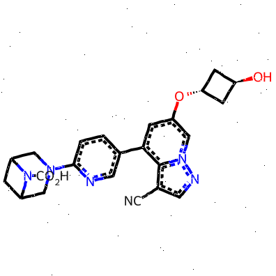 N#Cc1cnn2cc(O[C@H]3C[C@H](O)C3)cc(-c3ccc(N4CC5CC(C4)N5C(=O)O)nc3)c12